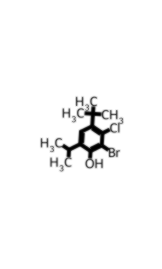 CC(C)c1cc(C(C)(C)C)c(Cl)c(Br)c1O